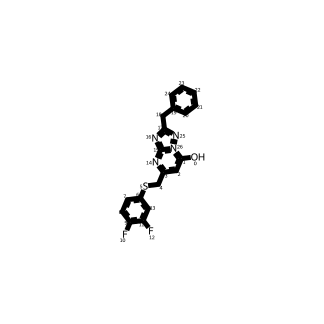 Oc1cc(CSc2ccc(F)c(F)c2)nc2nc(Cc3ccccc3)nn12